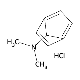 CN(C)C1C2=CC=C1C=C2.Cl